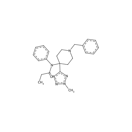 CCC(=O)N(c1ccccc1)C1(c2nnn(C)n2)CCN(Cc2ccccc2)CC1